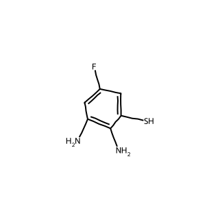 Nc1cc(F)cc(S)c1N